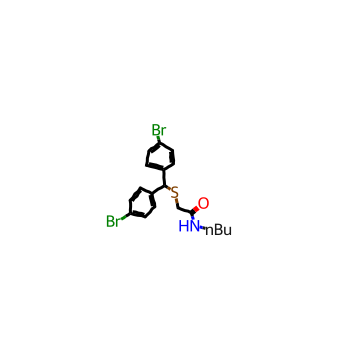 CCCCNC(=O)CSC(c1ccc(Br)cc1)c1ccc(Br)cc1